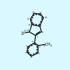 Cc1ccccc1C1=Cc2ccccc2[CH]1[Zr]